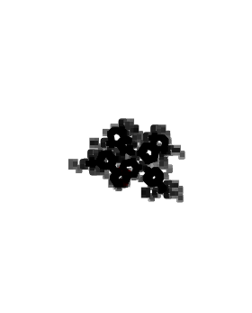 CC1=CC2=C3B(c4cc5c(cc4N(c4ccc(C(C)(C)C)cc4)C3C1)C(C)(C)CCC5(C)C)c1sc3c(c1N2c1ccc(C(C)(C)C)cc1-c1ccccc1)C(C)(C)CCC3(C)C